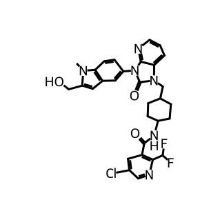 Cn1c(CO)cc2cc(-n3c(=O)n(CC4CCC(NC(=O)c5cc(Cl)cnc5C(F)F)CC4)c4cccnc43)ccc21